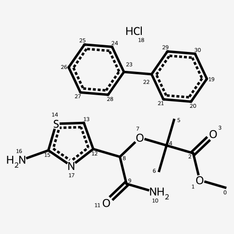 COC(=O)C(C)(C)OC(C(N)=O)c1csc(N)n1.Cl.c1ccc(-c2ccccc2)cc1